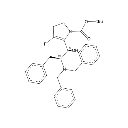 CC(C)(C)OC(=O)N1CCC(F)=C1[C@@H](O)[C@H](Cc1ccccc1)N(Cc1ccccc1)Cc1ccccc1